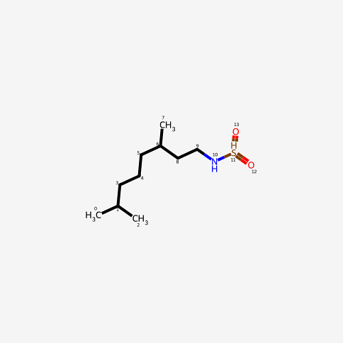 CC(C)CCCC(C)CCN[SH](=O)=O